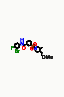 COCCC1CCN(S(=O)(=O)c2cccc(C(=O)Nc3ccc(F)c(Br)c3)c2)CC1C